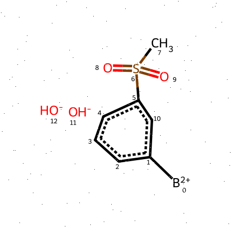 [B+2]c1cccc(S(C)(=O)=O)c1.[OH-].[OH-]